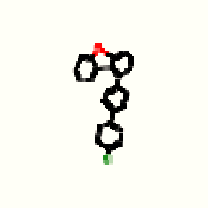 Clc1ccc(-c2ccc(-c3cccc4oc5ccccc5c34)cc2)cc1